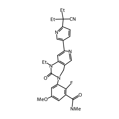 CCN1C(=O)N(c2cc(OC)cc(C(=O)NC)c2F)Cc2cnc(-c3ccc(C(C#N)(CC)CC)nc3)cc21